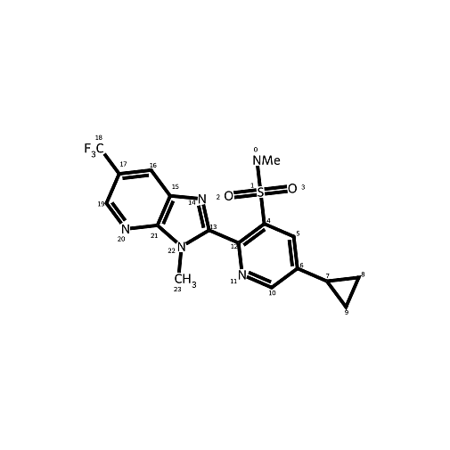 CNS(=O)(=O)c1cc(C2CC2)cnc1-c1nc2cc(C(F)(F)F)cnc2n1C